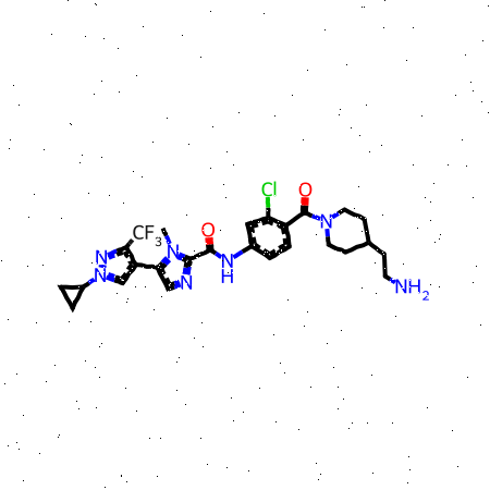 Cn1c(-c2cn(C3CC3)nc2C(F)(F)F)cnc1C(=O)Nc1ccc(C(=O)N2CCC(CCN)CC2)c(Cl)c1